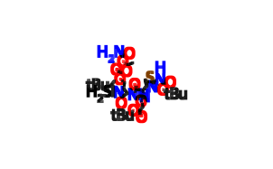 CC(OC(N)=O)OC(=O)OCC1C(NC(=O)C(=NOCC(=O)OC(C)(C)C)c2csc(NC(=O)OC(C)(C)C)n2)C(=O)N1[SiH2]C(C)C(C)(C)C